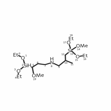 CCO[SiH](OCC)C(CCNCC(C)C[Si](OC)(OCC)OCC)OC